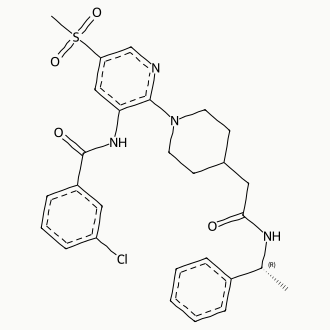 C[C@@H](NC(=O)CC1CCN(c2ncc(S(C)(=O)=O)cc2NC(=O)c2cccc(Cl)c2)CC1)c1ccccc1